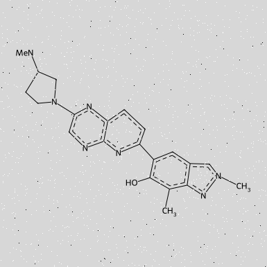 CNC1CCN(c2cnc3nc(-c4cc5cn(C)nc5c(C)c4O)ccc3n2)C1